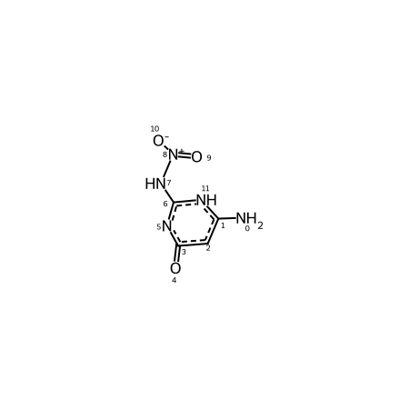 Nc1cc(=O)nc(N[N+](=O)[O-])[nH]1